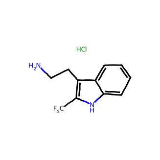 Cl.NCCc1c(C(F)(F)F)[nH]c2ccccc12